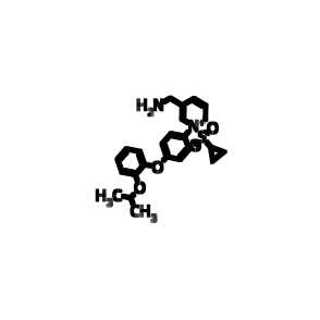 CC(C)Oc1ccccc1Oc1ccc([N+]2(S(=O)(=O)C3CC3)C=C(CN)C=CC2)cc1